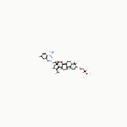 CC(C)C1=C2[C@H]3CC[C@@H]4[C@@]5(C)CC[C@H](OC(=O)CC(C)(C)C(=O)O)C(C)(C)C5CC[C@@]4(C)[C@]3(C)CCC2([C@H](O)CN(CCN(C)C)Cc2cccc(Cl)c2)CC1=O